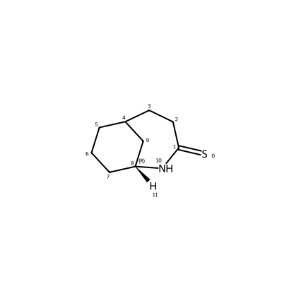 S=C1CCC2CCC[C@H](C2)N1